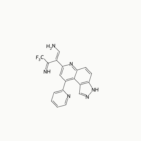 N=C(/C(=C\N)c1cc(-c2ccccn2)c2c(ccc3[nH]ncc32)n1)C(F)(F)F